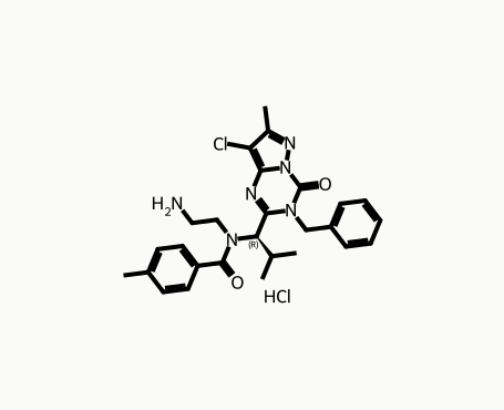 Cc1ccc(C(=O)N(CCN)[C@@H](c2nc3c(Cl)c(C)nn3c(=O)n2Cc2ccccc2)C(C)C)cc1.Cl